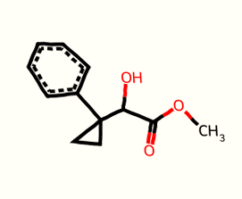 COC(=O)C(O)C1(c2ccccc2)CC1